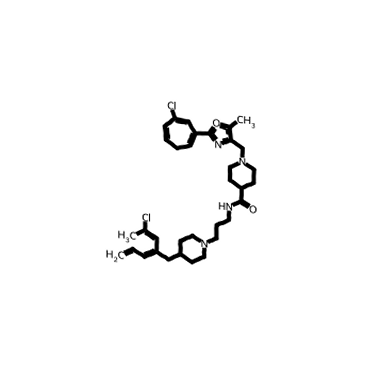 C=C/C=C(\C=C(/C)Cl)CC1CCN(CCCNC(=O)C2CCN(Cc3nc(C4=CCC=CC(Cl)=C4)oc3C)CC2)CC1